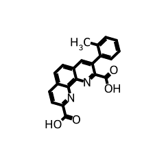 Cc1ccccc1-c1cc2ccc3ccc(C(=O)O)nc3c2nc1C(=O)O